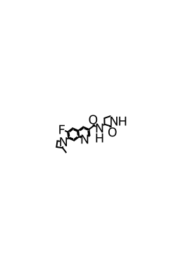 CC1CCN1c1cc2ncc(C(=O)NC3CCNC3=O)cc2cc1F